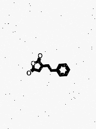 O=C1CC(CCc2ccccc2)C(=O)O1